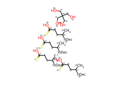 CCCCCCCCCCC(C)CCC(O)=S.CCCCCCCCCCC(C)CCC(O)=S.CCCCCCCCCCC(C)CCC(O)=S.CCCCCCCCCCC(C)CCC(O)=S.OCC(CO)(CO)CO